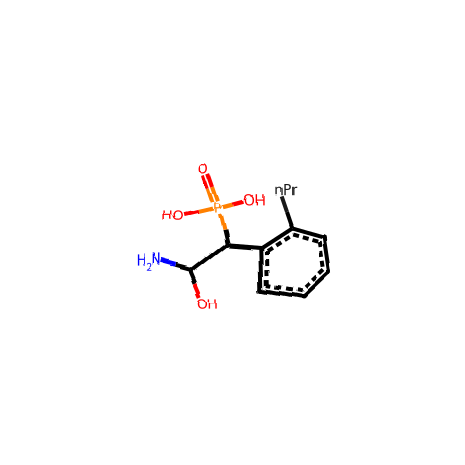 CCCc1ccccc1C(C(N)O)P(=O)(O)O